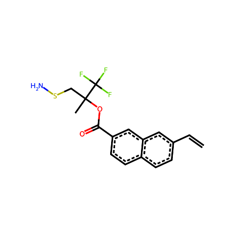 C=Cc1ccc2ccc(C(=O)OC(C)(CSN)C(F)(F)F)cc2c1